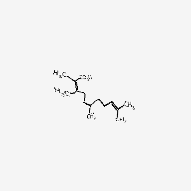 CC(C)=CCCC(C)CCC(C)=C(C)C(=O)O